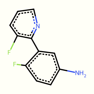 Nc1ccc(F)c(-c2ncccc2F)c1